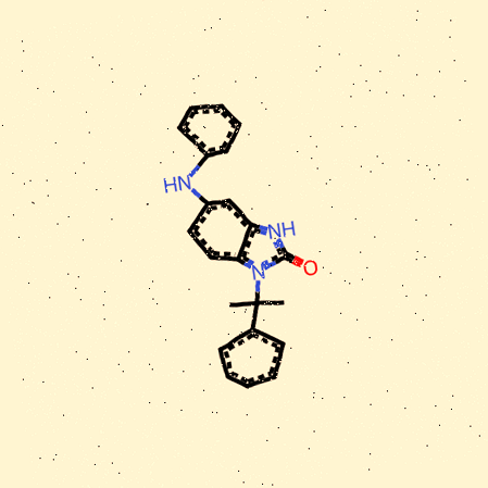 CC(C)(c1ccccc1)n1c(=O)[nH]c2cc(Nc3ccccc3)ccc21